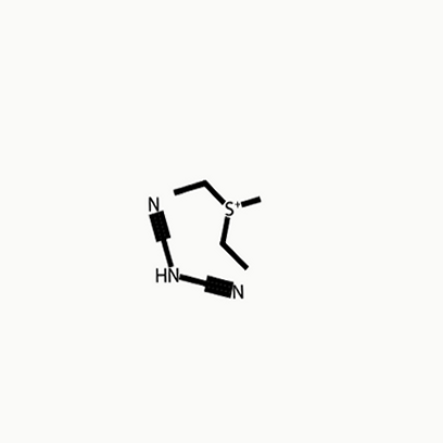 CC[S+](C)CC.N#CNC#N